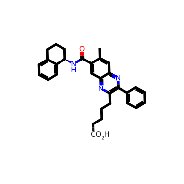 Cc1cc2nc(-c3ccccc3)c(CCCCC(=O)O)nc2cc1C(=O)N[C@@H]1CCCc2ccccc21